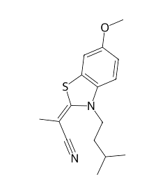 COc1ccc2c(c1)S/C(=C(\C)C#N)N2CCC(C)C